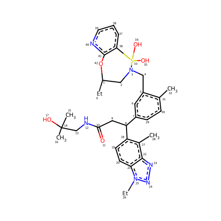 CCC1CN(Cc2cc(C(CC(=O)NCC(C)(C)O)c3ccc4c(nnn4CC)c3C)ccc2C)S(O)(O)c2cccnc2O1